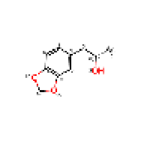 CC(=O)[C@H](O)Cc1ccc2c(c1)OCO2